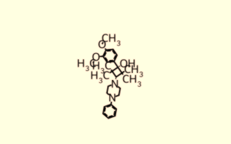 COc1ccc([C@]2(O)C(C)(C)[C@@H](N3CCN(c4ccccc4)CC3)C2(C)C)cc1OC